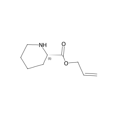 C=CCOC(=O)[C@@H]1CCCCN1